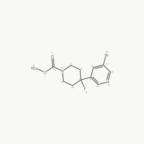 CC(C)(C)OC(=O)N1CCC(F)(c2cncc(Br)c2)CC1